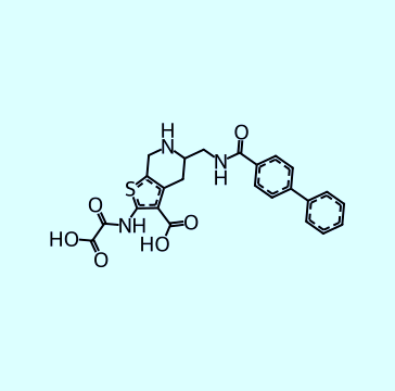 O=C(O)C(=O)Nc1sc2c(c1C(=O)O)CC(CNC(=O)c1ccc(-c3ccccc3)cc1)NC2